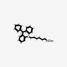 CCCCCCCCCCCCCCCCOc1ccccc1[C](c1ccccc1)c1ccccc1